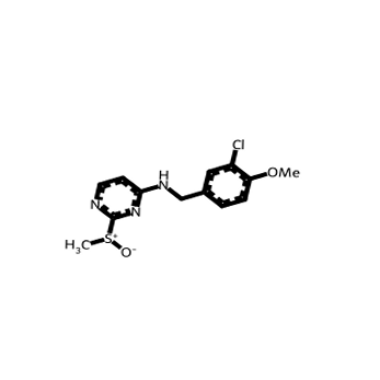 COc1ccc(CNc2ccnc([S+](C)[O-])n2)cc1Cl